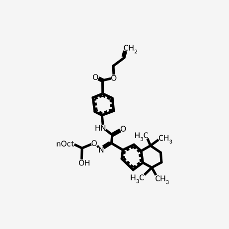 C=CCOC(=O)c1ccc(NC(=O)/C(=N\OC(O)CCCCCCCC)c2ccc3c(c2)C(C)(C)CCC3(C)C)cc1